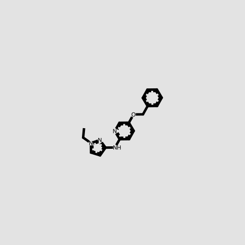 CCn1ccc(Nc2ccc(OCc3ccccc3)cn2)n1